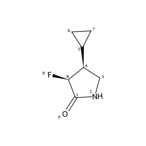 O=C1NC[C@H](C2CC2)[C@@H]1F